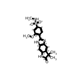 CNS(=O)(=O)c1ccc(-c2nc3cc4c(cc3[nH]2)NC(=O)C4(C)C)c(OC)c1